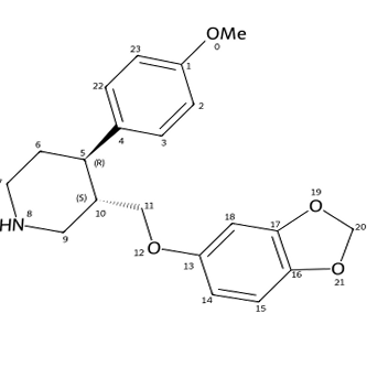 COc1ccc([C@@H]2CCNC[C@H]2COc2ccc3c(c2)OCO3)cc1